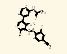 CC(=O)Nc1cc(-c2cnc(Cl)c(NSc3ccc(C#N)cc3Cl)c2C)ccn1